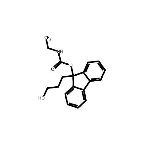 O=C(NCC(F)(F)F)OC1(CCCO)c2ccccc2-c2ccccc21